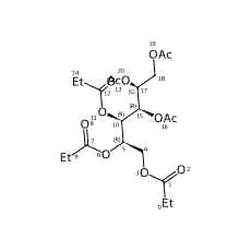 CCC(=O)OC[C@@H](OC(=O)CC)[C@@H](OC(=O)CC)[C@H](OC(C)=O)[C@H](COC(C)=O)OC(C)=O